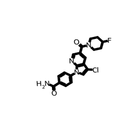 NC(=O)c1ccc(-n2cc(Cl)c3cc(C(=O)N4CCC(F)CC4)cnc32)cc1